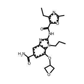 CCCn1c(NC(=O)c2oc(C)nc2CC)nc2cc(C(N)=O)cc(OC3COC3)c21